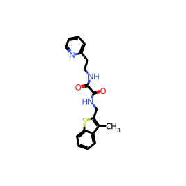 Cc1c(CNC(=O)C(=O)NCCc2ccccn2)sc2ccccc12